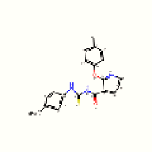 CCCCCc1ccc(NC(=S)NC(=O)c2cccnc2Oc2ccc(C)cc2)cc1